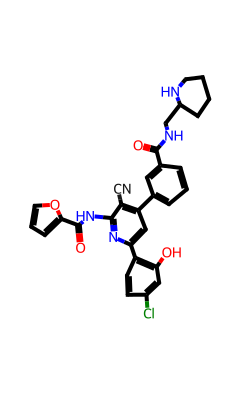 N#Cc1c(-c2cccc(C(=O)NCC3CCCCN3)c2)cc(-c2ccc(Cl)cc2O)nc1NC(=O)c1ccco1